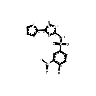 O=[N+]([O-])c1cc(S(=O)(=O)Nc2nc(-c3cccs3)ns2)ccc1Cl